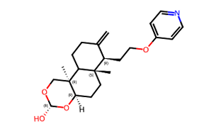 C=C1CCC2[C@]3(C)CO[C@@H](O)O[C@@H]3CC[C@@]2(C)[C@@H]1CCOc1ccncc1